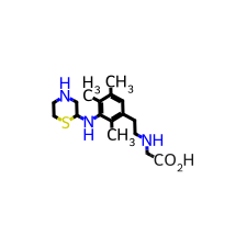 Cc1cc(CCNCC(=O)O)c(C)c(NC2CNCCS2)c1C